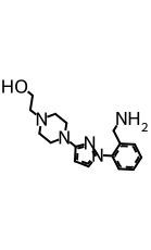 NCc1ccccc1-n1ccc(N2CCN(CCO)CC2)n1